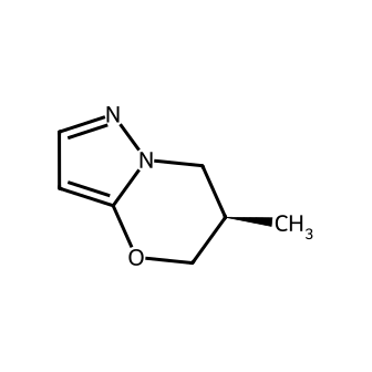 C[C@H]1COc2ccnn2C1